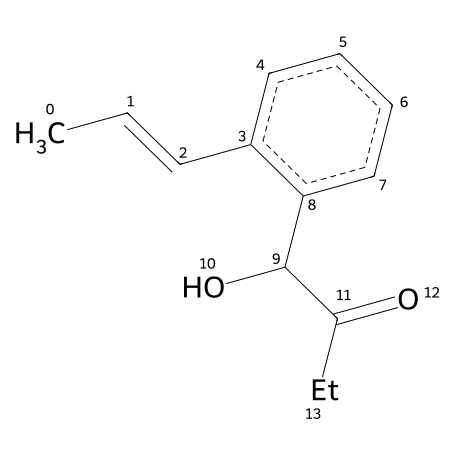 CC=Cc1ccccc1C(O)C(=O)CC